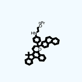 CCCOCCNc1ccc(C2(c3ccc4c(ccc5ccccc54)c3)C=Cc3c4c(c5ccccc5c3O2)-c2ccccc2C4(C)C)cc1